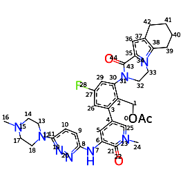 CC(=O)OCc1c(-c2cc(Nc3ccc(N4CCN(C)CC4)nn3)c(=O)n(C)c2)cc(F)cc1N1CCn2c(cc3c2CCCC3)C1=O